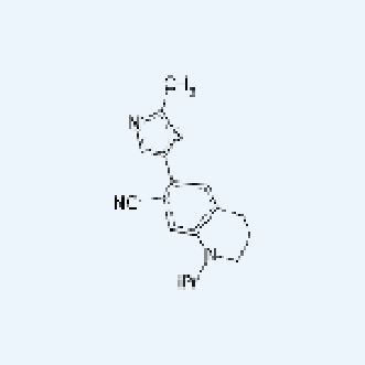 Cc1ncc(-c2cc3c(cc2C#N)N(C(C)C)CCC3)s1